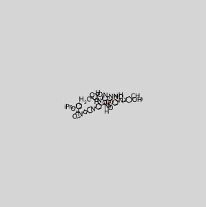 CC(C)Oc1ccccc1[C@@H]1COCCN1C1CC2(CCN(c3ccc(C(=O)NS(=O)(=O)c4ccc(NCC5CCC(C)(O)CC5)c([N+](=O)[O-])c4)c(N4c5cc6cc[nH]c6nc5O[C@H]5CO[C@H](C)C[C@@H]54)c3)CC2)C1